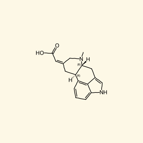 CN1CC(=CC(=O)O)C[C@@H]2c3cccc4[nH]cc(c34)C[C@H]21